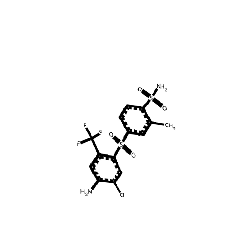 Cc1cc(S(=O)(=O)c2cc(Cl)c(N)cc2C(F)(F)F)ccc1S(N)(=O)=O